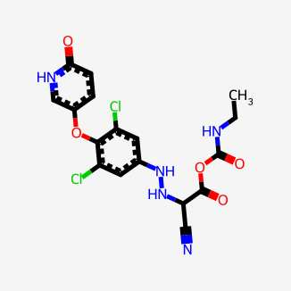 CCNC(=O)OC(=O)C(C#N)NNc1cc(Cl)c(Oc2ccc(=O)[nH]c2)c(Cl)c1